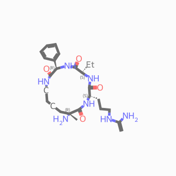 C=C(N)NCCC[C@@H]1NC(=O)[C@](C)(N)CCCCNC(=O)[C@@H](c2ccccc2)NC(=O)[C@H](CC)NC1=O